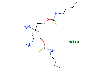 CCCCNC(=S)OCCC(N)(CCN)CCOC(=S)NCCCC.Cl.Cl